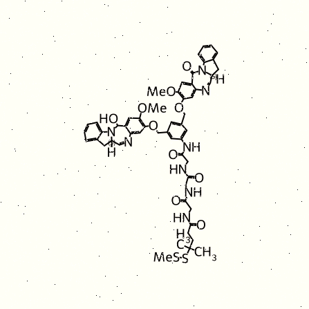 COc1cc2c(cc1OCc1cc(COc3cc4c(cc3OC)C(O)N3c5ccccc5C[C@H]3C=N4)cc(NC(=O)CNC(=O)CNC(=O)CNC(=O)CCC(C)(C)SSC)c1)N=C[C@@H]1Cc3ccccc3N1C2=O